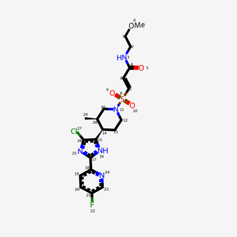 COCCNC(=O)C=CS(=O)(=O)N1CC[C@@H](c2[nH]c(-c3ccc(F)cn3)nc2Cl)[C@@H](C)C1